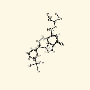 COC(CNc1nc(=O)c2cnn3c2n1CC=C3c1cccc(C(F)(F)F)c1)OC